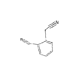 N#CCc1ccccc1C#N